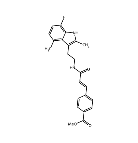 COC(=O)c1ccc(/C=C/C(=O)NCCc2c(C)[nH]c3c(F)ccc(C)c23)cc1